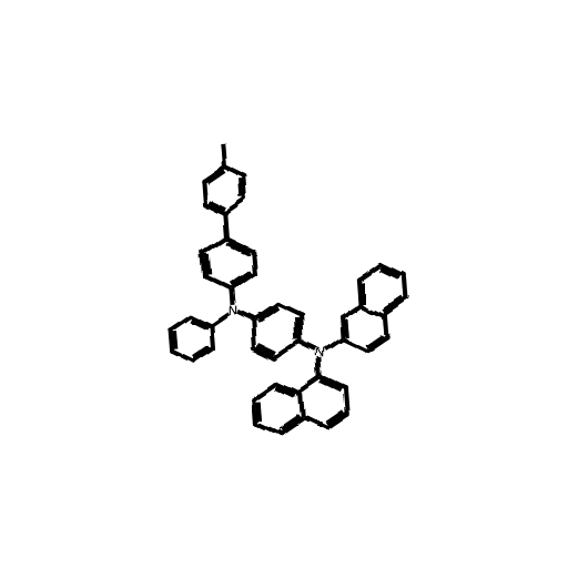 Cc1ccc(-c2ccc(N(c3ccccc3)c3ccc(N(c4ccc5ccccc5c4)c4cccc5ccccc45)cc3)cc2)cc1